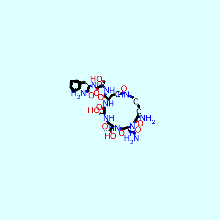 C[C@@H](O)[C@@H]1NC(=O)[C@H](CC(N)=O)NC(=O)C(N)CCCCNC(=O)CCC(C(=O)N[C@@H](CO)C(=O)N[C@@H](Cc2ccccc2)C(N)=O)NC(=O)[C@H](CO)NC1=O